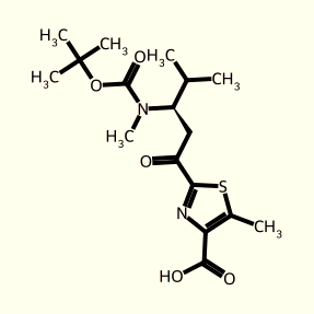 Cc1sc(C(=O)C[C@H](C(C)C)N(C)C(=O)OC(C)(C)C)nc1C(=O)O